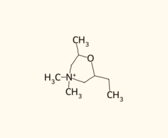 CCC1C[N+](C)(C)CC(C)O1